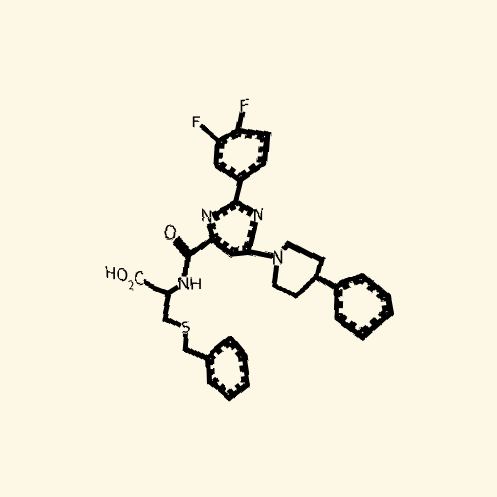 O=C(NC(CSCc1ccccc1)C(=O)O)c1cc(N2CCC(c3ccccc3)CC2)nc(-c2ccc(F)c(F)c2)n1